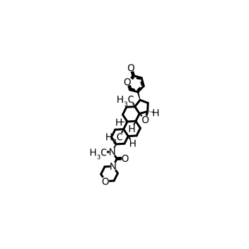 CN(C(=O)N1CCOCC1)[C@H]1CC[C@@]2(C)[C@H](CC[C@@H]3[C@@H]2CC[C@]2(C)[C@@H](c4ccc(=O)oc4)C[C@H]4O[C@]342)C1